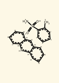 Cc1ccccc1S(N)(=O)=O.c1ccc2nc3ccccc3cc2c1